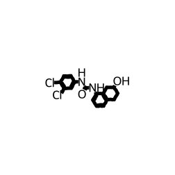 O=C(Nc1ccc(Cl)c(Cl)c1)Nc1cccc2c1CC(O)CC2